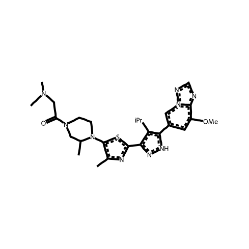 COc1cc(-c2[nH]nc(-c3nc(C)c(N4CCN(C(=O)CN(C)C)CC4C)s3)c2C(C)C)cn2ncnc12